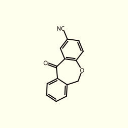 N#Cc1ccc2c(c1)C(=O)c1ccccc1CO2